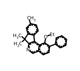 CCOc1c(-c2ccccc2)ccc2cnc3c(c12)-c1ccc(C)cc1C3(C)C